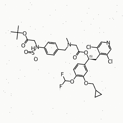 CN(CC(=O)O[C@@H](Cc1c(Cl)cncc1Cl)c1ccc(OC(F)F)c(OCC2CC2)c1)Cc1ccc(N(CC(=O)OC(C)(C)C)[SH](=O)=O)cc1